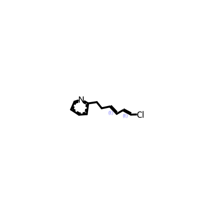 Cl/C=C/C=C/CCc1ccccn1